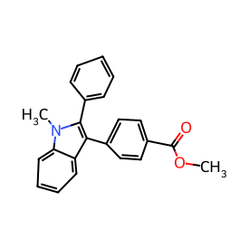 COC(=O)c1ccc(-c2c(-c3ccccc3)n(C)c3ccccc23)cc1